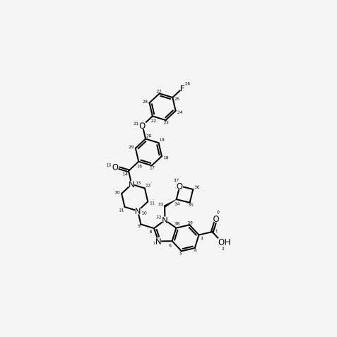 O=C(O)c1ccc2nc(CN3CCN(C(=O)c4cccc(Oc5ccc(F)cc5)c4)CC3)n(C[C@@H]3CCO3)c2c1